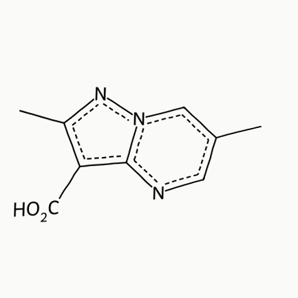 Cc1cnc2c(C(=O)O)c(C)nn2c1